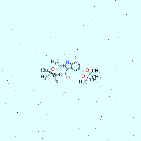 COC(=O)c1c2cc(B3OC(C)(C)C(C)(C)O3)cc(Cl)c2nn1[C@@H](C)CO[Si](C)(C)C(C)(C)C